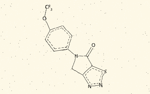 O=C1c2snnc2CN1c1ccc(OC(F)(F)F)cc1